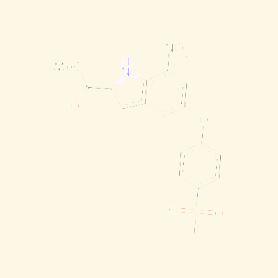 COC(=O)c1cc2cc(Oc3ccc(S(C)(=O)=O)cc3)cc([N+](=O)[O-])c2[nH]1